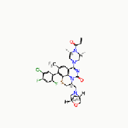 C=CC(=O)N1[C@H](C)CN(c2nc(=O)n3c4c(c(-c5cc(Cl)c(F)cc5F)c(C(F)(F)F)cc24)SC[C@@H]3CN2C[C@@H]3C[C@H]2CO3)C[C@@H]1C